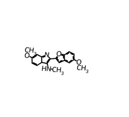 CNC1=C(c2cc3cc(OC)ccc3o2)N=C2C=C(OC)C=CC21